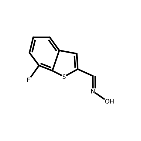 ON=Cc1cc2cccc(F)c2s1